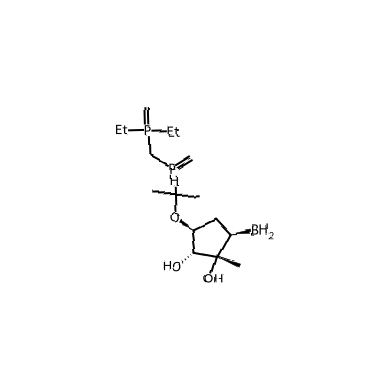 B[C@@H]1C[C@H](OC(C)(C)[PH](=C)CP(=C)(CC)CC)[C@@H](O)[C@@]1(C)O